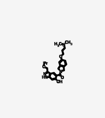 CC(C)OCc1n[nH]c2cc(O)c(C(=O)N3Cc4ccc(OCCCN(C)C)cc4C3)cc12